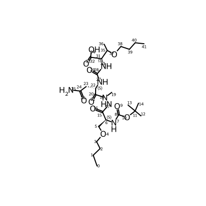 CCCCOC[C@H](NC(=O)OC(C)(C)C)C(=O)NN(C)C(=O)[C@H](CC(N)=O)NC(=O)N[C@H](C(=O)O)C(C)OCCCC